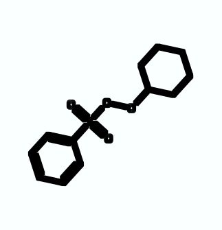 O=S(=O)(OOC1CCCCC1)c1ccccc1